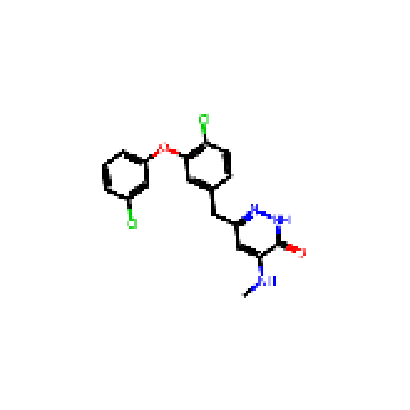 CNc1cc(Cc2ccc(Cl)c(Oc3cccc(Cl)c3)c2)n[nH]c1=O